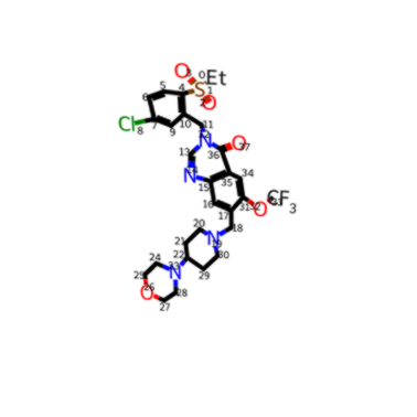 CCS(=O)(=O)c1ccc(Cl)cc1Cn1cnc2cc(CN3CCC(N4CCOCC4)CC3)c(OC(F)(F)F)cc2c1=O